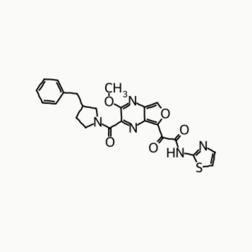 COc1nc2coc(C(=O)C(=O)Nc3nccs3)c2nc1C(=O)N1CCC(Cc2ccccc2)C1